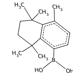 Cc1ccc(B(O)O)c2c1C(C)(C)CCC2(C)C